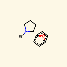 CCN1CCCC1.c1cc2ccc1o2